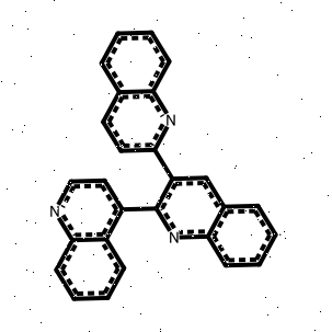 [c]1ccc2nc(-c3ccnc4ccccc34)c(-c3ccc4ccccc4n3)cc2c1